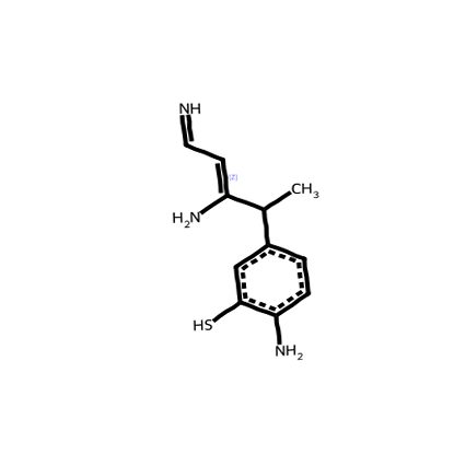 CC(/C(N)=C/C=N)c1ccc(N)c(S)c1